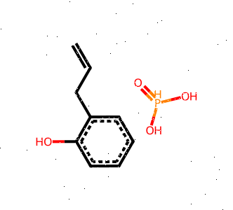 C=CCc1ccccc1O.O=[PH](O)O